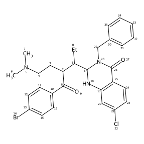 CCC(C(CCN(C)C)C(=O)c1ccc(Br)cc1)C1Nc2cc(Cl)ccc2C(=O)N1Cc1ccccc1